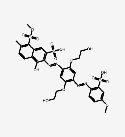 COc1ccc(/N=N/c2cc(OCCO)c(/N=N/c3c(S(=O)(=O)O)cc4c(S(=O)(=O)OC)c(C)ccc4c3O)cc2OCCO)c(S(=O)(=O)O)c1